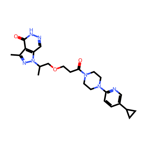 Cc1nn(C(C)COCCC(=O)N2CCN(c3ccc(C4CC4)cn3)CC2)c2cn[nH]c(=O)c12